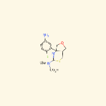 CC(C)(C)N(C(=O)O)C1=NC2(c3cc(N)ccc3F)COCC2CS1